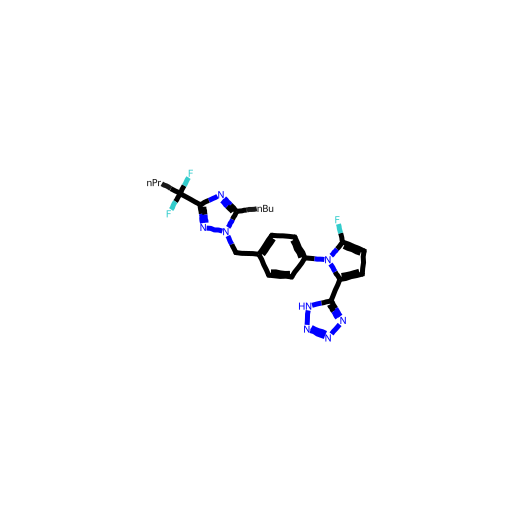 CCCCc1nc(C(F)(F)CCC)nn1Cc1ccc(-n2c(F)ccc2-c2nnn[nH]2)cc1